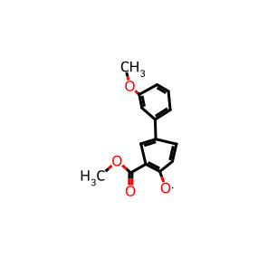 COC(=O)c1cc(-c2cccc(OC)c2)ccc1[O]